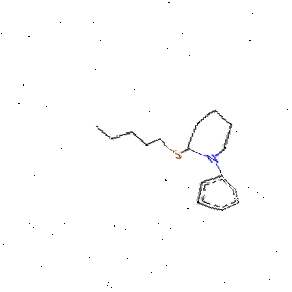 CCCCCSC1CCCCN1c1ccccc1